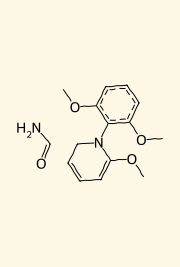 COC1=CC=CCN1c1c(OC)cccc1OC.NC=O